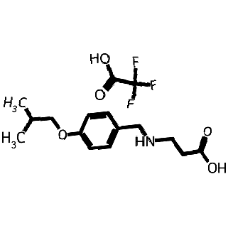 CC(C)COc1ccc(CNCCC(=O)O)cc1.O=C(O)C(F)(F)F